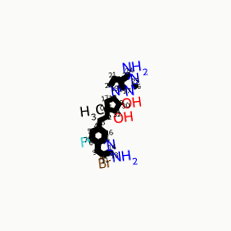 CC1(CCc2cc(F)c3cc(Br)c(N)nc3c2)C[C@@H](n2ccc3c(N)ncnc32)[C@H](O)[C@@H]1O